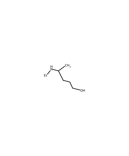 CCNC(C)CCCO